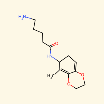 CC1=C2OCCOC2=CCC1NC(=O)CCCCN